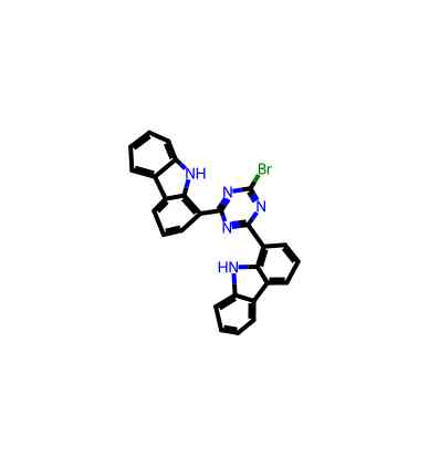 Brc1nc(-c2cccc3c2[nH]c2ccccc23)nc(-c2cccc3c2[nH]c2ccccc23)n1